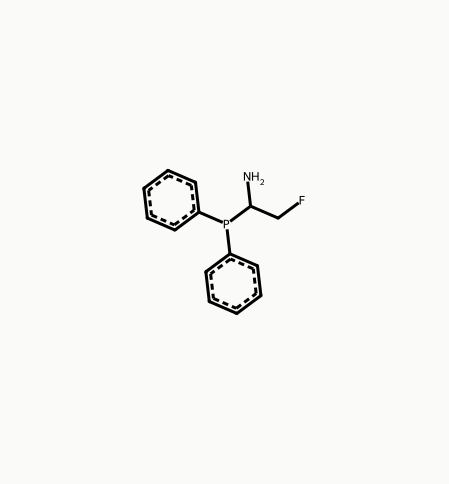 NC(CF)P(c1ccccc1)c1ccccc1